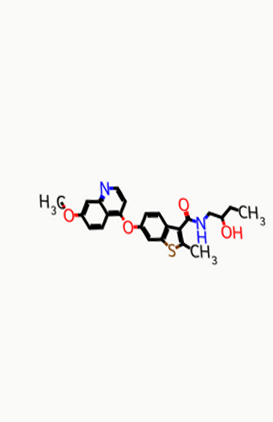 CCC(O)CNC(=O)c1c(C)sc2cc(Oc3ccnc4cc(OC)ccc34)ccc12